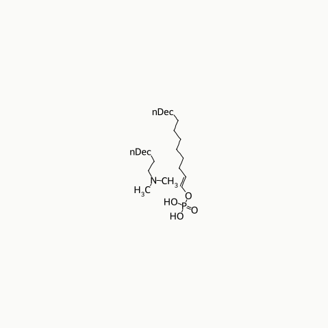 CCCCCCCCCCCCCCCCC=COP(=O)(O)O.CCCCCCCCCCCCN(C)C